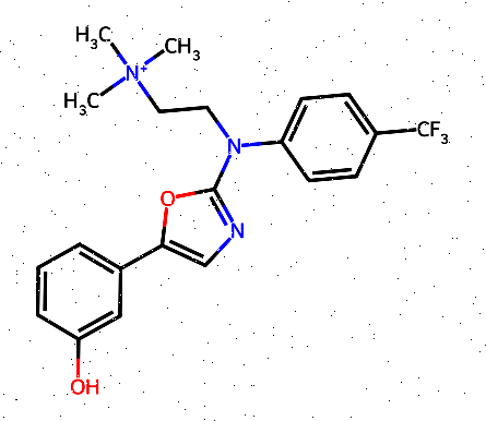 C[N+](C)(C)CCN(c1ccc(C(F)(F)F)cc1)c1ncc(-c2cccc(O)c2)o1